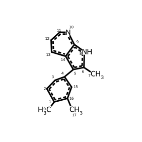 Cc1ccc(-c2c(C)[nH]c3ncccc23)cc1C